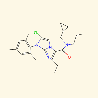 CCCN(CC1CC1)C(=O)c1c(CC)nc2n(-c3c(C)cc(C)cc3C)c(Cl)cn12